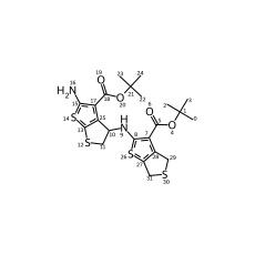 CC(C)(C)OC(=O)c1c(NC2CSc3sc(N)c(C(=O)OC(C)(C)C)c32)sc2c1CSC2